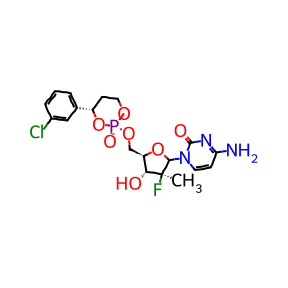 C[C@@]1(F)C(n2ccc(N)nc2=O)O[C@H](CO[P@@]2(=O)OCC[C@@H](c3cccc(Cl)c3)O2)[C@H]1O